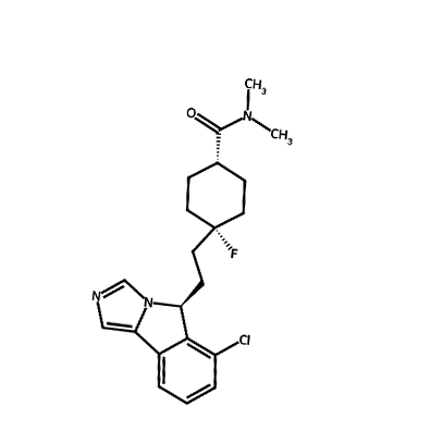 CN(C)C(=O)[C@H]1CC[C@](F)(CC[C@H]2c3c(Cl)cccc3-c3cncn32)CC1